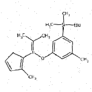 CC1=[C]([Ti]([O]c2cc(C)cc([Si](C)(C)C(C)(C)C)c2)=[C](C)C)CC=C1